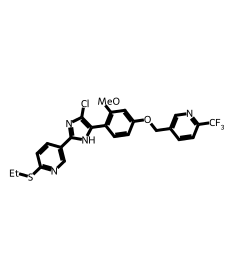 CCSc1ccc(-c2nc(Cl)c(-c3ccc(OCc4ccc(C(F)(F)F)nc4)cc3OC)[nH]2)cn1